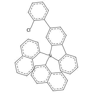 Clc1ccccc1-c1ccc2c(c1)[Si](c1cccc3ccccc13)(c1cccc3ccccc13)c1ccccc1-2